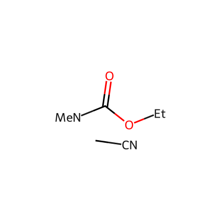 CC#N.CCOC(=O)NC